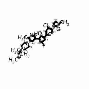 COCC(C)(C)N1CCN(c2cc(-c3cc(F)cc(-c4ccc(-n5ccn(C)c5=O)c(Cl)c4)c3O)cnc2C)CC1